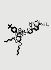 CCCCCOC(=O)C[C@H](N[P@@](=O)(OC[C@H]1CC[C@](C#N)(c2ccc3c(N)ncnn23)O1)Oc1ccc(C(C)(C)C)cc1)C(=O)OCCCCC